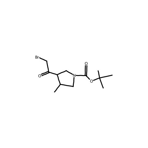 CC1CN(C(=O)OC(C)(C)C)CC1C(=O)CBr